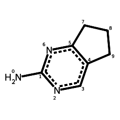 Nc1ncc2c(n1)CCC2